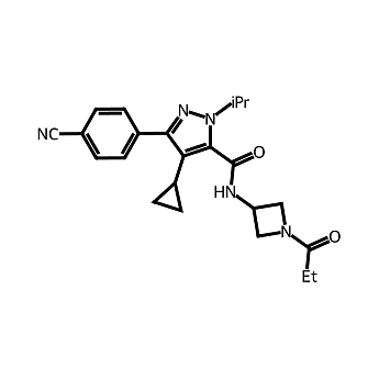 CCC(=O)N1CC(NC(=O)c2c(C3CC3)c(-c3ccc(C#N)cc3)nn2C(C)C)C1